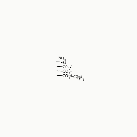 CC(=O)O.CC(=O)O.CC(=O)O.CC(=O)O.CCC.N.N